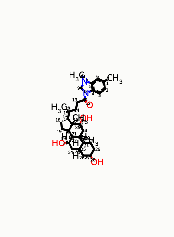 Cc1ccc2c(c1)N(C)CN2C(=O)CC[C@@H](C)[C@H]1CC[C@H]2[C@@H]3[C@H](O)C[C@@H]4C[C@H](O)CC[C@]4(C)[C@H]3C[C@H](O)[C@]12C